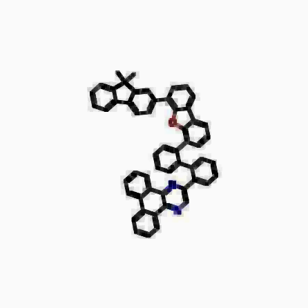 CC1(C)c2ccccc2-c2ccc(-c3cccc4c3oc3c(-c5ccccc5-c5ccccc5-c5cnc6c7ccccc7c7ccccc7c6n5)cccc34)cc21